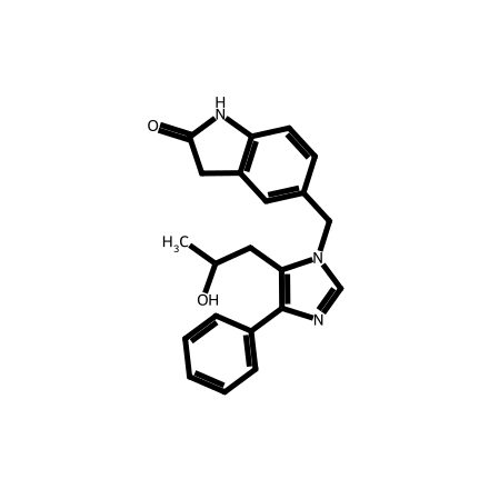 CC(O)Cc1c(-c2ccccc2)ncn1Cc1ccc2c(c1)CC(=O)N2